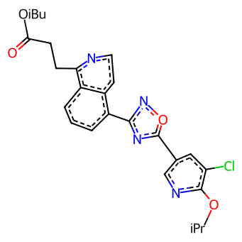 CC(C)COC(=O)CCc1nccc2c(-c3noc(-c4cnc(OC(C)C)c(Cl)c4)n3)cccc12